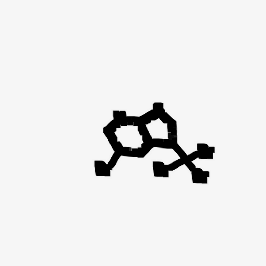 Brc1cnc2scc(C(Br)(Br)Br)c2c1